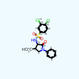 O=C(O)C1CN(c2ccccc2)C(=O)C1NS(=O)(=O)c1ccc(Cl)c(Cl)c1